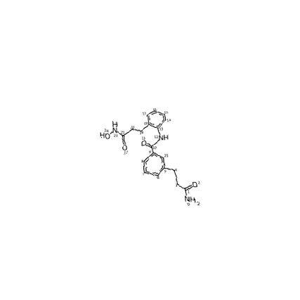 NC(=O)CCc1cccc(C(=O)Nc2ccccc2CCC(=O)NO)c1